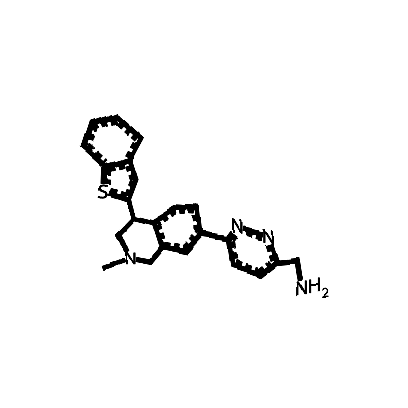 CN1Cc2cc(-c3ccc(CN)nn3)ccc2C(c2cc3ccccc3s2)C1